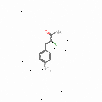 CCCCC(=O)C(Cl)Cc1ccc([N+](=O)[O-])cc1